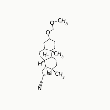 COCOC1CC[C@@]2(C)C(CC[C@H]3[C@@H]4CC(C#N)=C[C@@]4(C)CC[C@@H]32)C1